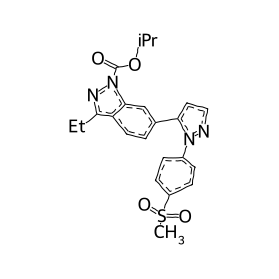 CCc1nn(C(=O)OC(C)C)c2cc(-c3ccnn3-c3ccc(S(C)(=O)=O)cc3)ccc12